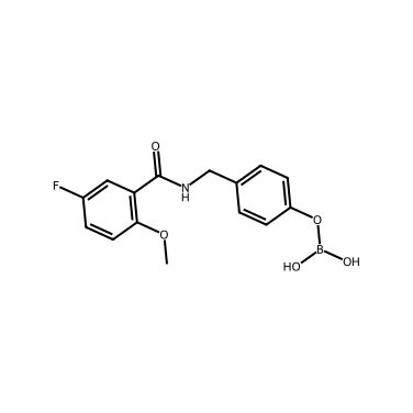 COc1ccc(F)cc1C(=O)NCc1ccc(OB(O)O)cc1